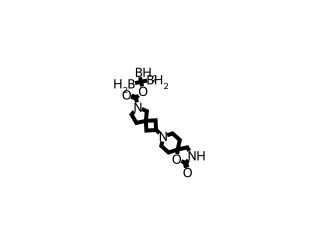 BC(B)(B)OC(=O)N1CCC2(CC(N3CCC4(CC3)CNC(=O)O4)C2)C1